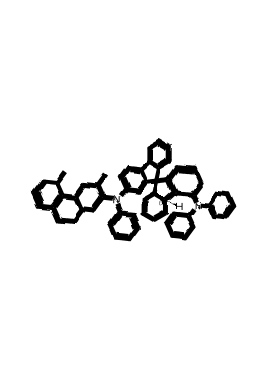 CC1CC2C3=C(C=CCC3C)CCC2C=C1N(c1ccccc1)c1ccc2c(c1)C1(c3ccccc3-2)C2C=CC=C(N(C3=CC=CCC3)C3C=CC=CC3)C2[C@H]2C=CC=CC21